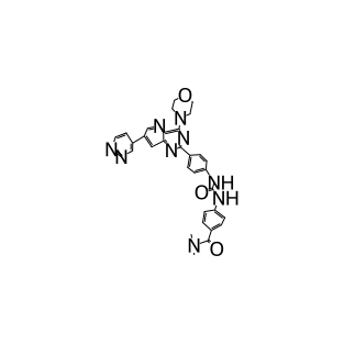 CN(C)C(=O)c1ccc(NC(=O)Nc2ccc(-c3nc(N4CCOCC4)c4ncc(-c5ccnnc5)cc4n3)cc2)cc1